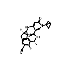 C[C@@H](NC(=O)c1cn(C23CC(C2)C3)c(=O)cc1NC1[C@H]2CN(C)C[C@@H]12)c1cccc(C#N)c1Cl